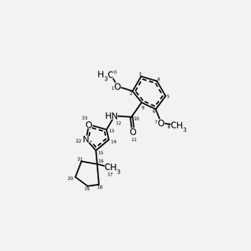 COc1cccc(OC)c1C(=O)Nc1cc(C2(C)CCCC2)no1